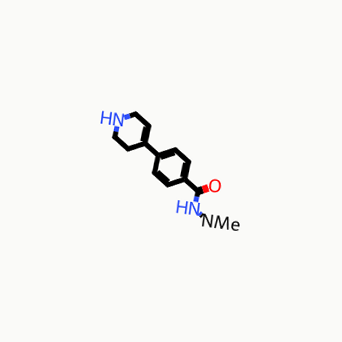 CNNC(=O)c1ccc(C2=CCNCC2)cc1